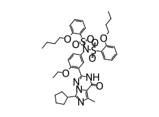 CCCCOc1ccccc1S(=O)(=O)N(c1ccc(OCC)c(-c2nn3c(C4CCCC4)nc(C)c3c(=O)[nH]2)c1)S(=O)(=O)c1ccccc1OCCCC